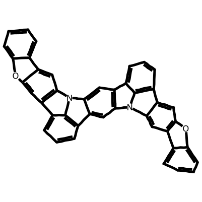 c1ccc2c(c1)oc1cc3c4cccc5c6cc7c(cc6n(c3cc12)c45)c1cccc2c3cc4oc5ccccc5c4cc3n7c21